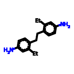 CCc1cc(N)ccc1CCc1ccc(N)cc1CC